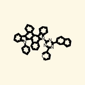 c1ccc(-c2nc(-c3ccc4ccccc4c3)nc(-n3c4ccccc4c4c5c6ccccc6c6c7ccccc7n(-c7ccccc7)c6c5c5ccccc5c43)n2)cc1